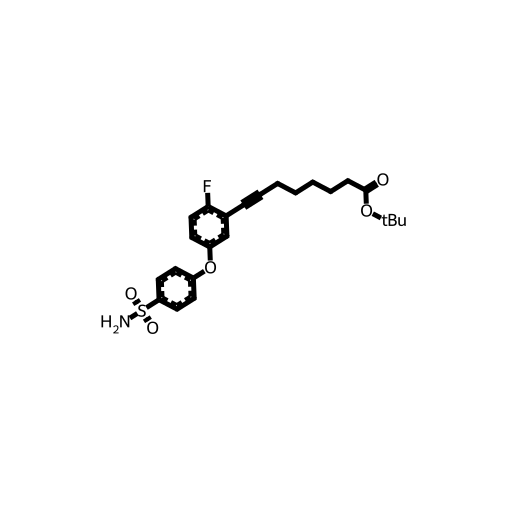 CC(C)(C)OC(=O)CCCCCC#Cc1cc(Oc2ccc(S(N)(=O)=O)cc2)ccc1F